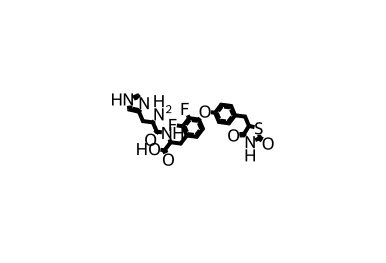 NC(Cc1c[nH]cn1)C(=O)NC(Cc1ccc(Oc2ccc(CC3SC(=O)NC3=O)cc2)c(F)c1F)C(=O)O